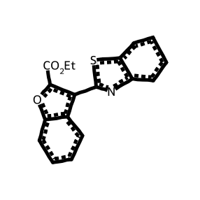 CCOC(=O)c1oc2ccccc2c1-c1nc2ccccc2s1